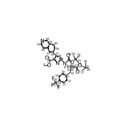 COC(=O)c1nc(N(C[C@@H](Cc2ccc(C(F)(F)F)cc2)NC(=O)OC(C)(C)C)C(=O)OC(C)(C)C)sc1-c1ccc2cnccc2c1